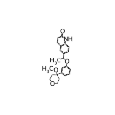 COC1(c2cccc(OC(C)c3ccc4[nH]c(=O)ccc4c3)c2)CCOCC1